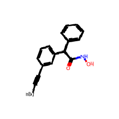 CCCCC#Cc1cccc(C(C(=O)NO)c2ccccc2)c1